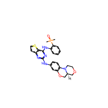 CP(C)(=O)c1ccccc1Nc1nc(Nc2ccc3c(c2)OC[C@@H]2COCCN32)nc2ccsc12